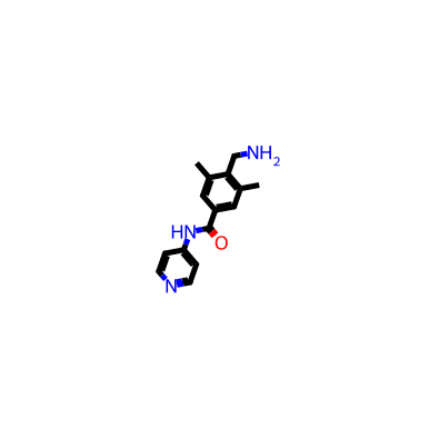 Cc1cc(C(=O)Nc2ccncc2)cc(C)c1CN